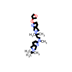 CN(CCC(C)(C)N1Cc2ccc(OC3CCOC3)nc2C1)c1ccc2c(n1)CN(C(C)(C)C)C2